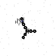 NC(/N=c1/nccc[nH]1)c1ccc(-c2ccc(-c3cc(-c4ccc(-c5ccccc5)cc4)nc(-c4ccc(-c5ccccc5)cc4)n3)cc2)cc1